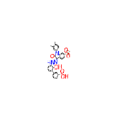 Cc1ccc(N2C(=O)C(=NNc3cccc(-c4cccc(C(=O)O)c4)c3O)c3ccc(S(C)(=O)=O)cc32)cc1C